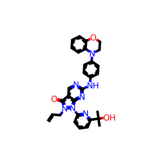 C=CCn1c(=O)c2cnc(Nc3ccc(N4CCOc5ccccc54)cc3)nc2n1-c1cccc(C(C)(C)O)n1